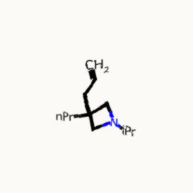 C=CCC1(CCC)CN(C(C)C)C1